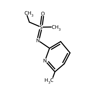 CCS(C)(=O)=Nc1cccc(C)n1